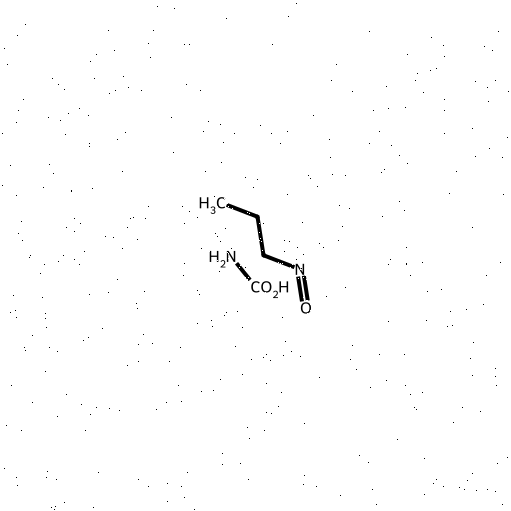 CCCN=O.NC(=O)O